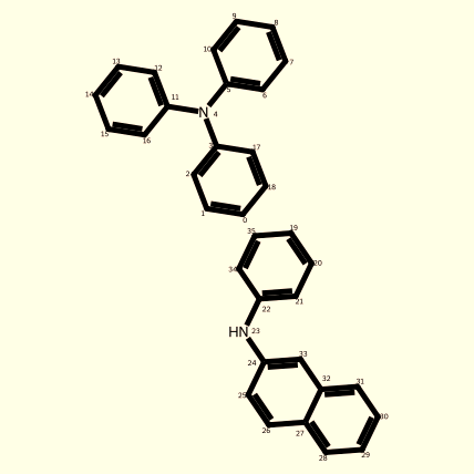 c1ccc(N(c2ccccc2)c2ccccc2)cc1.c1ccc(Nc2ccc3ccccc3c2)cc1